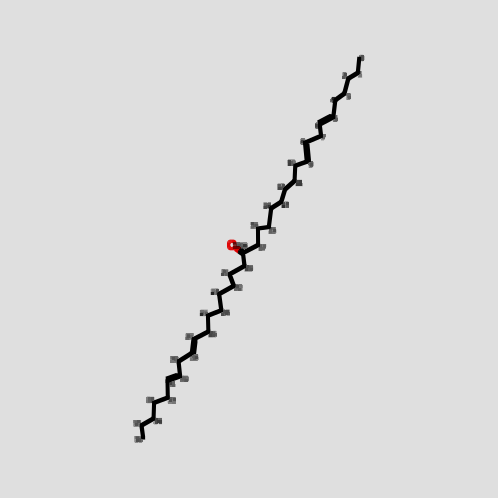 CCCCCC=CCC=CCCCCCCCCC(=O)CCCCCCCC=CCC=CCCCCC